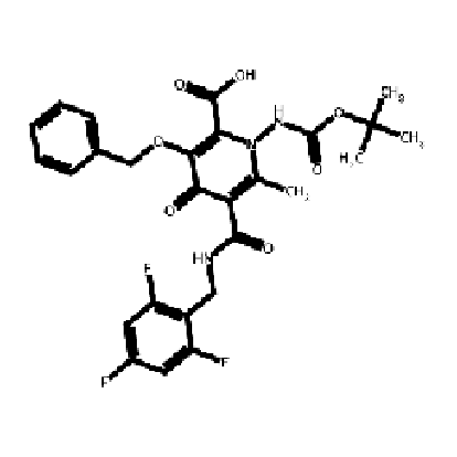 Cc1c(C(=O)NCc2c(F)cc(F)cc2F)c(=O)c(OCc2ccccc2)c(C(=O)O)n1NC(=O)OC(C)(C)C